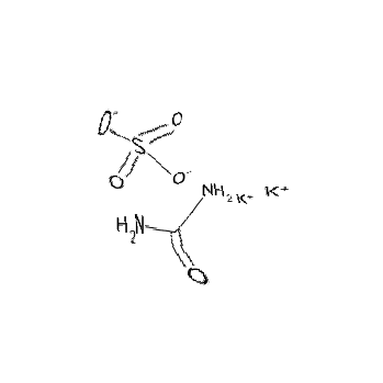 NC(N)=O.O=S(=O)([O-])[O-].[K+].[K+]